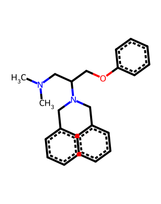 CN(C)CC(COc1ccccc1)N(Cc1ccccc1)Cc1ccccc1